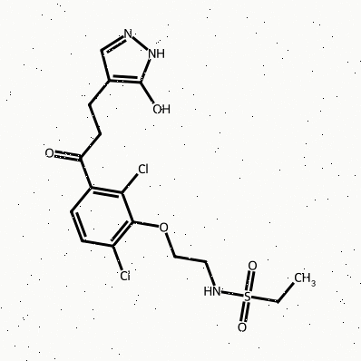 CCS(=O)(=O)NCCOc1c(Cl)ccc(C(=O)CCc2cn[nH]c2O)c1Cl